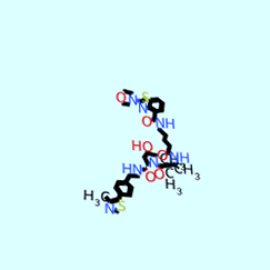 Cc1ncsc1-c1ccc(CCNC(=O)[C@@H]2C[C@@H](O)CN2C(=O)C(C)(C)[C@H](C)NC(=O)CCCCNC(=O)c2cccc3sc(N4CCOCC4)nc23)cc1